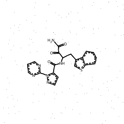 NC(=O)C(=O)C(Cc1csc2ccccc12)NC(=O)c1ccnn1-c1ncccn1